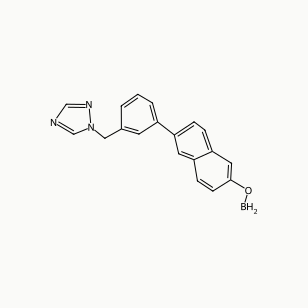 BOc1ccc2cc(-c3cccc(Cn4cncn4)c3)ccc2c1